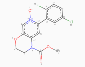 CC(C)(C)OC(=O)N1CCOc2c[n+]([O-])c(-c3cc(Cl)ccc3F)cc21